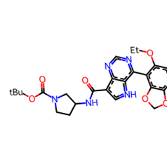 CCOc1ccc2c(c1-c1ncnc3c(C(=O)NC4CCN(C(=O)OC(C)(C)C)C4)c[nH]c13)OCO2